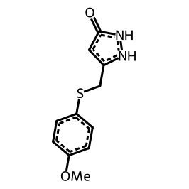 COc1ccc(SCc2cc(=O)[nH][nH]2)cc1